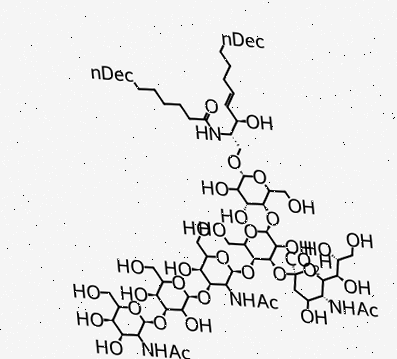 CCCCCCCCCCCCC/C=C/[C@@H](O)[C@H](CO[C@@H]1OC(CO)[C@@H](O[C@@H]2OC(CO)[C@H](O[C@@H]3OC(CO)[C@H](O)[C@H](O[C@@H]4OC(CO)[C@H](O)[C@H](O[C@@H]5OC(CO)[C@H](O)[C@H](O)C5NC(C)=O)C4O)C3NC(C)=O)[C@H](O[C@]3(C(=O)O)CC(O)[C@@H](NC(C)=O)C([C@H](O)[C@H](O)CO)O3)C2O)[C@H](O)C1O)NC(=O)CCCCCCCCCCCCCCC